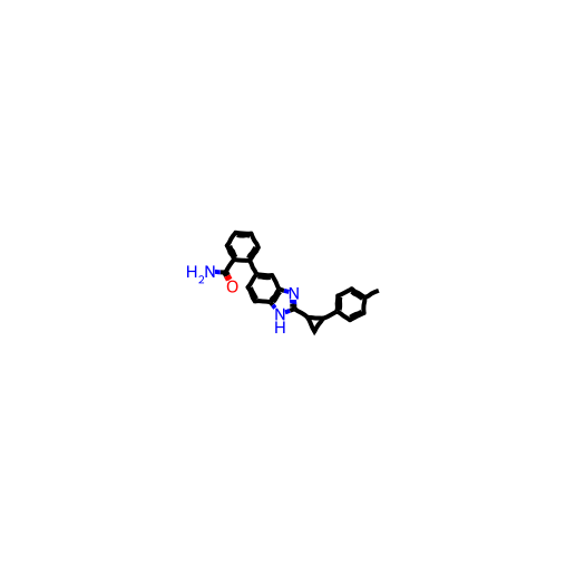 Cc1ccc(C2CC2c2nc3cc(-c4ccccc4C(N)=O)ccc3[nH]2)cc1